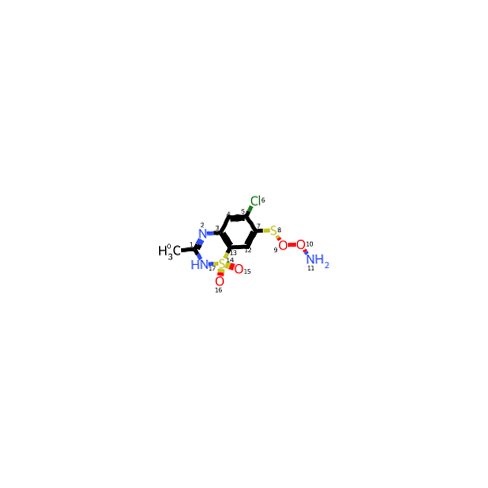 CC1=Nc2cc(Cl)c(SOON)cc2S(=O)(=O)N1